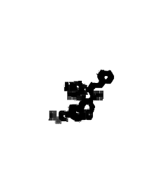 Cc1csc([C@@H](O)[C@H](CO)NC(C)CCc2ccccc2)c1.Cl